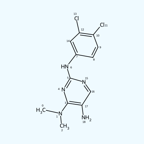 CN(C)c1nc(Nc2ccc(Cl)c(Cl)c2)ncc1N